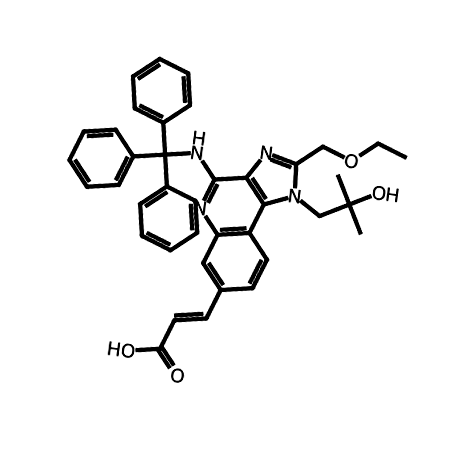 CCOCc1nc2c(NC(c3ccccc3)(c3ccccc3)c3ccccc3)nc3cc(C=CC(=O)O)ccc3c2n1CC(C)(C)O